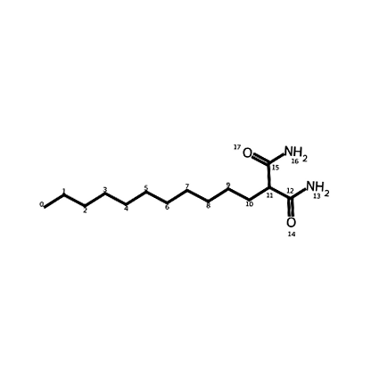 CCCCCCCCCCCC(C(N)=O)C(N)=O